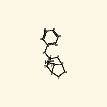 CN1C2CCC1CN(Cc1cccnc1)C2